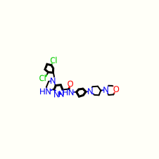 O=C(Nc1ccc(N2CCC(N3CCOCC3)CC2)cc1)c1cc2c(nn1)NCCN2Cc1cc(Cl)ccc1Cl